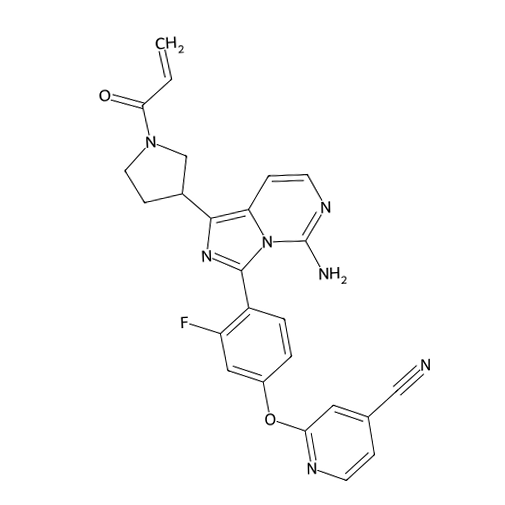 C=CC(=O)N1CCC(c2nc(-c3ccc(Oc4cc(C#N)ccn4)cc3F)n3c(N)nccc23)C1